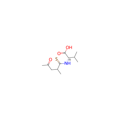 CC(=O)CC(C)C(=S)N[C@H](C(=O)O)C(C)C